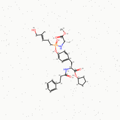 C/C(=C\CCP(=O)(N[C@@H](C)C(=O)OC(C)C)Oc1ccc(C[C@H](NC(=O)CCc2ccccc2)C(=O)OC2CCCC2)cc1)CO